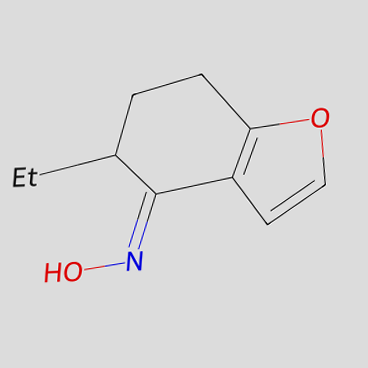 CCC1CCc2occc2C1=NO